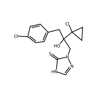 OC(Cc1ccc(Cl)cc1)(Cn1nc[nH]c1=S)C1(Cl)CC1